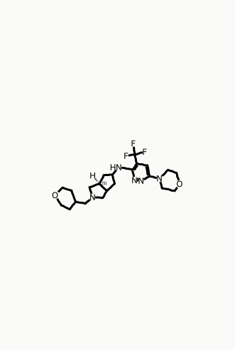 FC(F)(F)c1cc(N2CCOCC2)nnc1NC1CC2CN(CC3CCOCC3)C[C@H]2C1